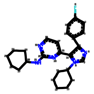 Fc1ccc(-c2ncn(C3CCCCC3)c2-c2ccnc(NC3CCCCC3)n2)cc1